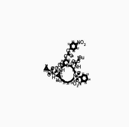 CC(C)(C)OC(=O)N[C@H]1CN(S(=O)(=O)c2ccccc2[N+](=O)[O-])CCC/C=C\[C@@H]2C[C@@]2(C(=O)NS(=O)(=O)C2CC2)NC(=O)[C@@H]2C[C@@H](OC(=O)Oc3ccc([N+](=O)[O-])cc3)CN2C1=O